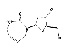 O=C1NCC=CCN1[C@H]1C[C@H](O)[C@@H](CO)O1